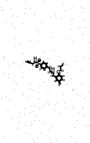 C#CCNS(=O)(=O)c1ccc(CCNCc2cc(F)ccc2OCCC)cc1